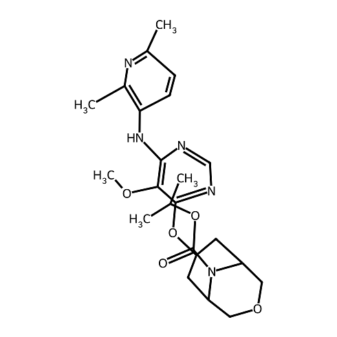 COc1c(Nc2ccc(C)nc2C)ncnc1OC1CC2COCC(C1)N2C(=O)OC(C)C